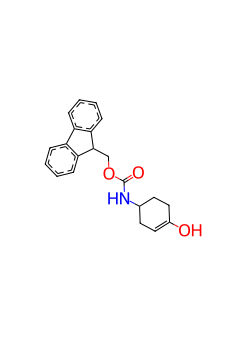 O=C(NC1CC=C(O)CC1)OCC1c2ccccc2-c2ccccc21